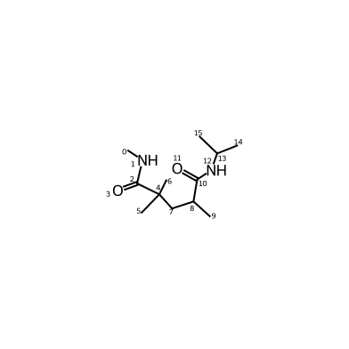 CNC(=O)C(C)(C)CC(C)C(=O)NC(C)C